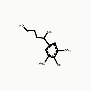 COc1cc(C(C)CCCO)cc(OC)c1O